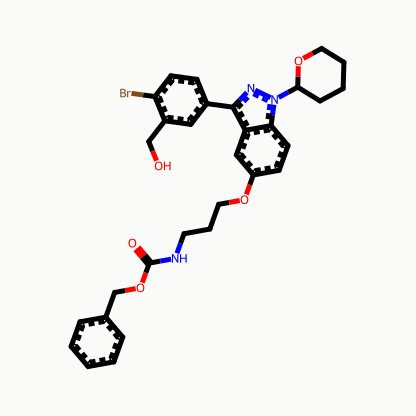 O=C(NCCCOc1ccc2c(c1)c(-c1ccc(Br)c(CO)c1)nn2C1CCCCO1)OCc1ccccc1